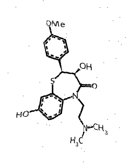 COc1ccc([C@@H]2Sc3cc(O)ccc3N(CCN(C)C)C(=O)[C@@H]2O)cc1